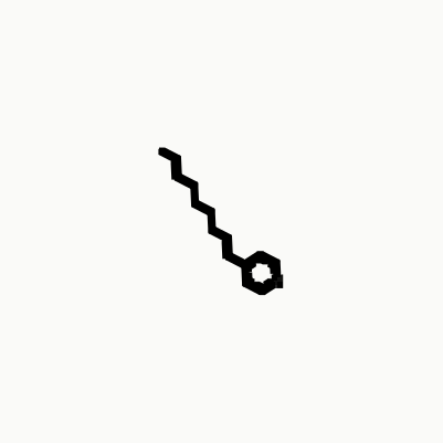 CC=CCCCCC=Cc1ccncc1